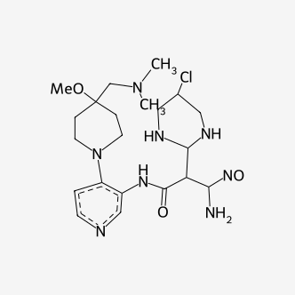 COC1(CN(C)C)CCN(c2ccncc2NC(=O)C(C(N)N=O)C2NCC(Cl)CN2)CC1